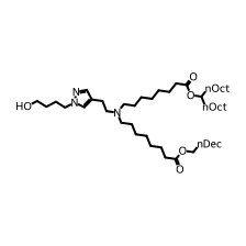 CCCCCCCCCCCOC(=O)CCCCCCCN(CCCCCCCC(=O)OC(CCCCCCCC)CCCCCCCC)CCc1cnn(CCCCO)c1